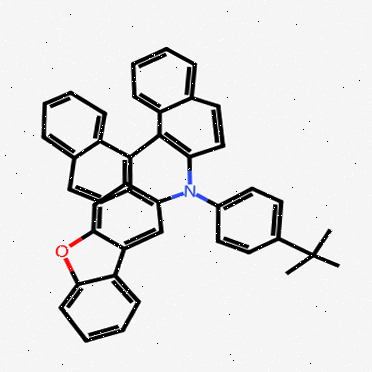 CC(C)(C)c1ccc(N(c2ccc3oc4ccccc4c3c2)c2ccc3ccccc3c2-c2cccc3ccccc23)cc1